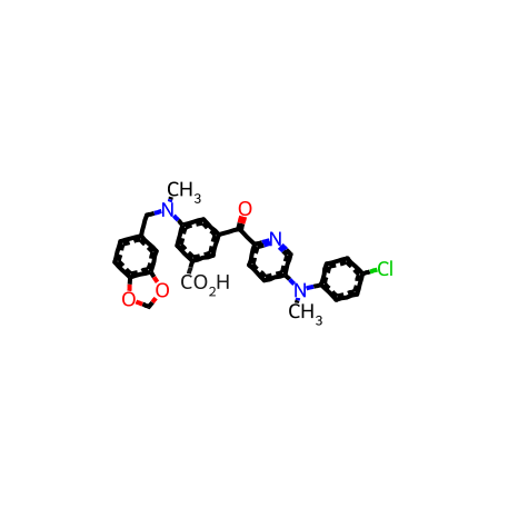 CN(Cc1ccc2c(c1)OCO2)c1cc(C(=O)O)cc(C(=O)c2ccc(N(C)c3ccc(Cl)cc3)cn2)c1